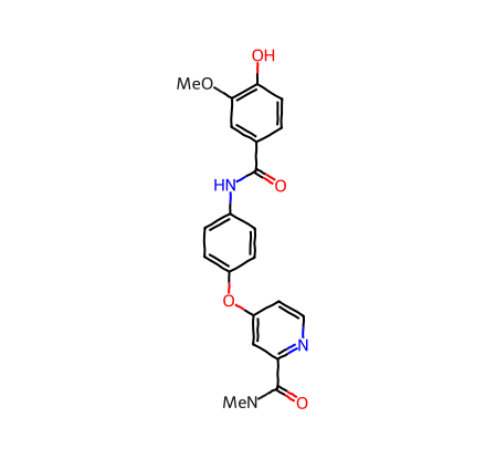 CNC(=O)c1cc(Oc2ccc(NC(=O)c3ccc(O)c(OC)c3)cc2)ccn1